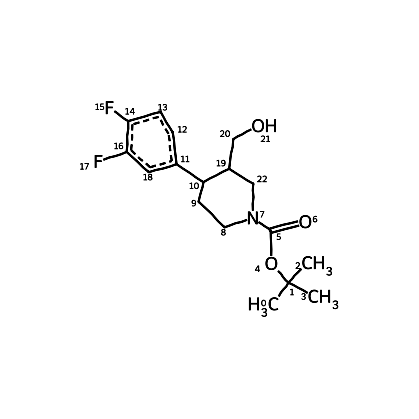 CC(C)(C)OC(=O)N1CCC(c2ccc(F)c(F)c2)C(CO)C1